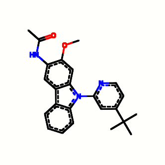 COc1cc2c(cc1NC(C)=O)c1ccccc1n2-c1cc(C(C)(C)C)ccn1